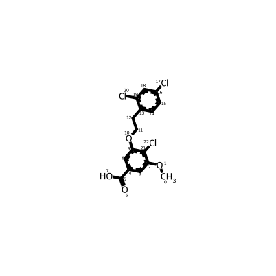 COc1cc(C(=O)O)cc(OCCc2ccc(Cl)cc2Cl)c1Cl